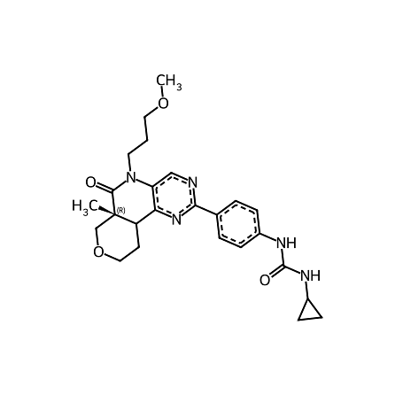 COCCCN1C(=O)[C@@]2(C)COCCC2c2nc(-c3ccc(NC(=O)NC4CC4)cc3)ncc21